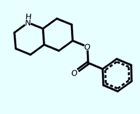 O=C(OC1CCC2NCCCC2C1)c1ccccc1